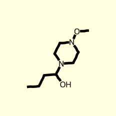 CCCC(O)N1CCN(OC)CC1